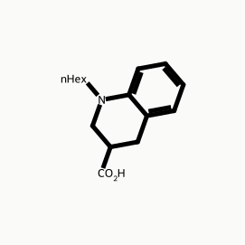 CCCCCCN1CC(C(=O)O)Cc2ccccc21